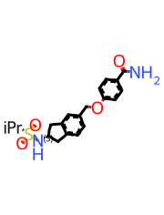 CC(C)S(=O)(=O)N[C@H]1Cc2ccc(COc3ccc(C(N)=O)cc3)cc2C1